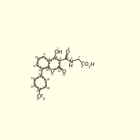 O=C(O)CNC(=O)c1c(O)c2cccc(-c3ccc(C(F)(F)F)cc3)c2oc1=O